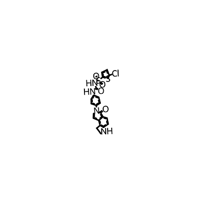 O=C(Nc1ccc(-n2ccc3c4c(ccc3c2=O)NCC4)cc1)NS(=O)(=O)c1ccc(Cl)s1